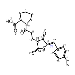 O=C(O)C1CCCCN1C(=O)CCN1C(=O)/C(=C/c2ccc(F)cc2)SC1=S